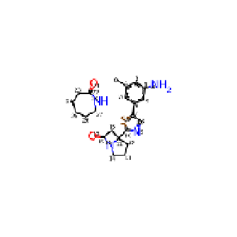 Cc1cc(N)cc(-c2cnc(C34CCCN3C(=O)C4)s2)c1.O=C1CCCCCN1